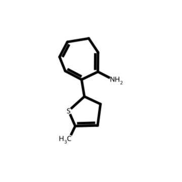 CC1=CCC(C2=CC=CCC=C2N)S1